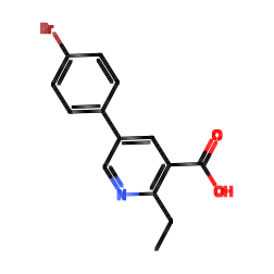 CCc1ncc(-c2ccc(Br)cc2)cc1C(=O)O